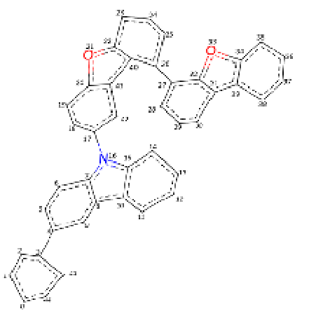 c1ccc(-c2ccc3c(c2)c2ccccc2n3-c2ccc3oc4cccc(-c5cccc6c5oc5ccccc56)c4c3c2)cc1